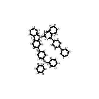 c1ccc(-c2ccc(-c3nc(-n4c5ccccc5c5ccc(-c6ccc(N(c7ccccc7)c7ccccc7)cc6)cc54)nc4ccccc34)cc2)cc1